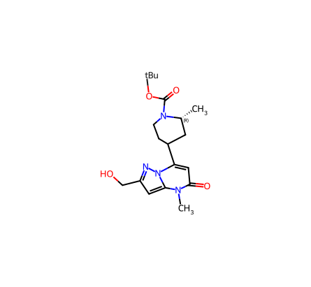 C[C@@H]1CC(c2cc(=O)n(C)c3cc(CO)nn23)CCN1C(=O)OC(C)(C)C